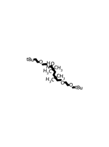 CC(C)(C)CCOCCNC(=O)C(C)(C)CCC(C)(C)CCOCCOCC(C)(C)C